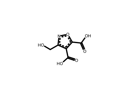 O=C(O)c1onc(CO)c1C(=O)O